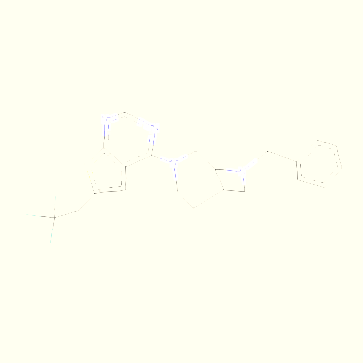 FC(F)(F)Cc1cc2c(N3CC[C@@H]4CN(Cc5ccccc5)[C@@H]4C3)ncnc2s1